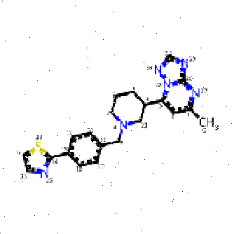 Cc1cc(C2CCCN(Cc3ccc(-c4nccs4)cc3)C2)n2ncnc2n1